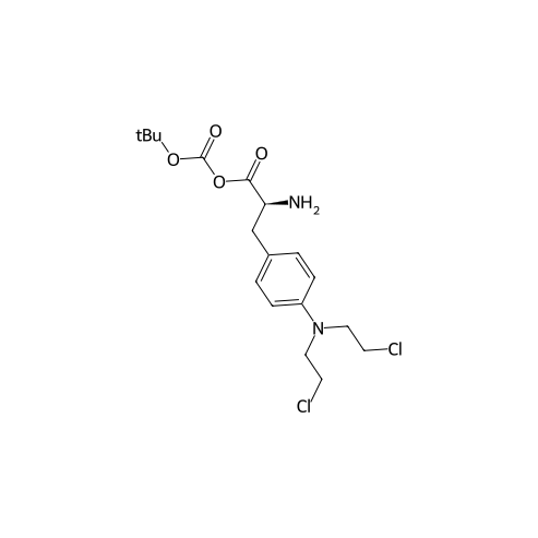 CC(C)(C)OC(=O)OC(=O)[C@@H](N)Cc1ccc(N(CCCl)CCCl)cc1